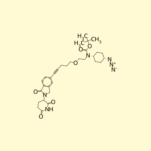 CC(C)(C)OC(=O)N(CCOCCCC#Cc1ccc2c(c1)CN(C1CCC(=O)NC1=O)C2=O)[C@H]1CC[C@@H](N=[N+]=[N-])CC1